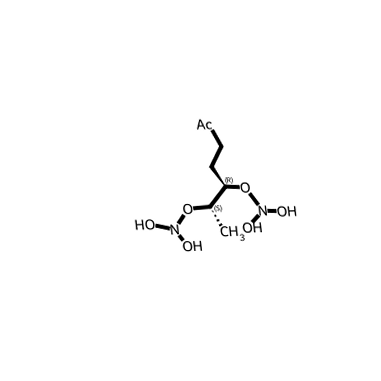 CC(=O)CC[C@@H](ON(O)O)[C@H](C)ON(O)O